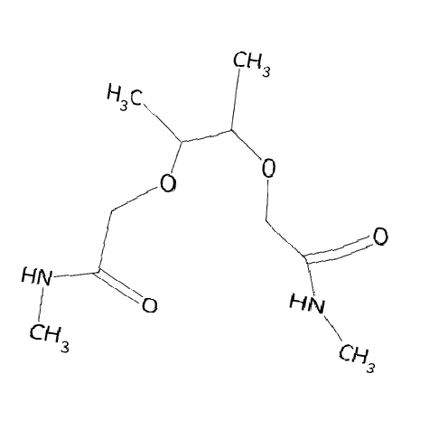 CNC(=O)COC(C)C(C)OCC(=O)NC